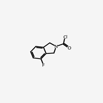 O=C(Cl)N1Cc2cccc(F)c2C1